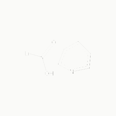 [Li][C](=O)O.c1ccncc1